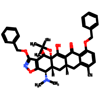 CN(C)[C@@H]1c2onc(OCc3ccccc3)c2C(=O)[C@@]2(O[Si](C)(C)C(C)(C)C)C(O)=C3C(=O)c4c(OCc5ccccc5)ccc(C#N)c4C[C@H]3C[C@@H]12